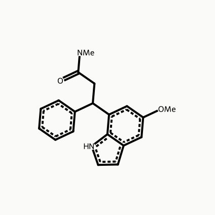 CNC(=O)CC(c1ccccc1)c1cc(OC)cc2cc[nH]c12